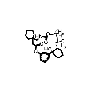 CCOC(=O)NCC1(CC(=O)Oc2cccc([C@@]3(O)CCCC[C@H]3CN(C)C)c2)CCCCC1